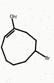 O/C1=C/CCCCC(Br)CC1